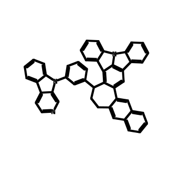 c1cc(C2CCc3cc4ccccc4cc3-c3cc4c5ccccc5n5c6ccccc6c(c32)c45)cc(-n2c3ccccc3c3ccncc32)c1